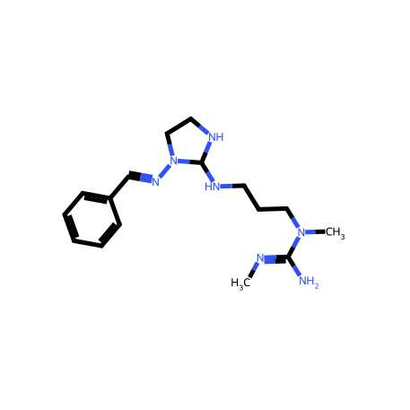 CN=C(N)N(C)CCCNC1NCCN1N=Cc1ccccc1